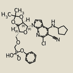 CC1(C)O[C@@H]2[C@H](O1)[C@@H](COCP(=O)(O)Oc1ccccc1)O[C@H]2n1ccc2c(NC3CCCC3)c(C#N)c(Cl)nc21